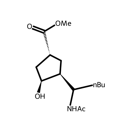 CCCCC(NC(C)=O)[C@@H]1C[C@@H](C(=O)OC)C[C@@H]1O